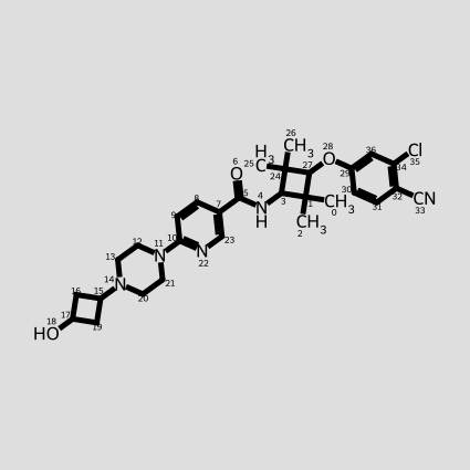 CC1(C)C(NC(=O)c2ccc(N3CCN(C4CC(O)C4)CC3)nc2)C(C)(C)C1Oc1ccc(C#N)c(Cl)c1